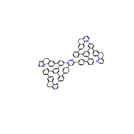 C/C=C\N=C1/CCCc2cc(-c3ccccc3-c3cc(-c4ccccc4C4=CCC(c5cc(-c6ccc(-c7ccccc7-c7cc(-c8ccccc8-c8ccc9c(c8)CCc8cccnc8-9)cc(-c8ccccc8-c8ccc9c(c8)CCc8cccnc8-9)c7)cc6)ncn5)C=C4)cc(-c4ccccc4-c4ccc5c(c4)CCc4cccnc4-5)c3)ccc21